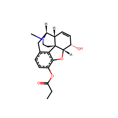 CCC(=O)Oc1ccc2c3c1O[C@H]1[C@@H](O)C=C[C@H]4[C@@H](C2)N(C)CC[C@@]341